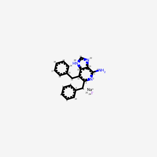 Nc1nc(Cc2ccccc2)c(Cc2ccccc2)c2[nH]cnc12.[I-].[Na+]